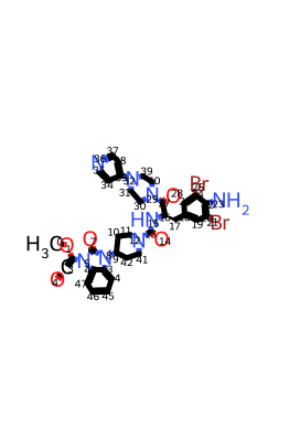 COC(=C=O)n1c(=O)n(C2CCN(C(=O)N[C@H](Cc3cc(Br)c(N)c(Br)c3)C(=O)N3CCN(c4ccncc4)CC3)CC2)c2ccccc21